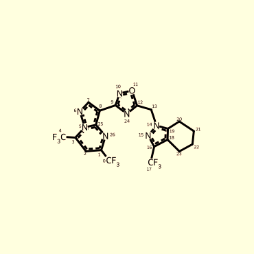 FC(F)(F)c1cc(C(F)(F)F)n2ncc(-c3noc(Cn4nc(C(F)(F)F)c5c4CCCC5)n3)c2n1